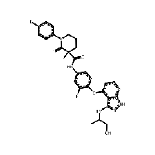 CC(CO)Nc1n[nH]c2nccc(Oc3ccc(NC(=O)C4(C)CCCN(c5ccc(F)cc5)C4=O)cc3F)c12